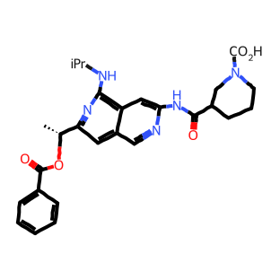 CC(C)Nc1nc([C@@H](C)OC(=O)c2ccccc2)cc2cnc(NC(=O)C3CCCN(C(=O)O)C3)cc12